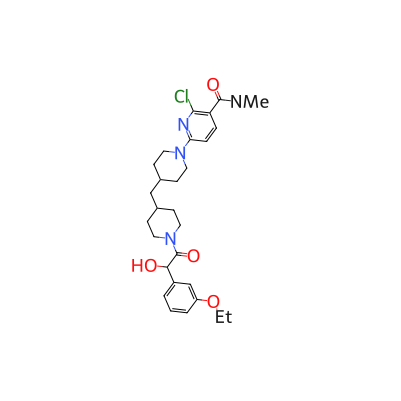 CCOc1cccc(C(O)C(=O)N2CCC(CC3CCN(c4ccc(C(=O)NC)c(Cl)n4)CC3)CC2)c1